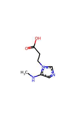 CNc1cncn1CCC(=O)O